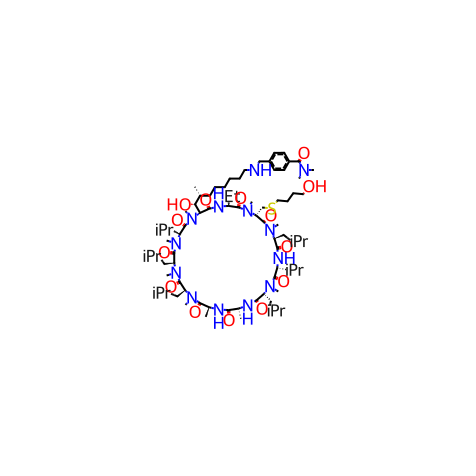 CC[C@@H]1NC(=O)[C@H]([C@H](O)[C@H](C)CCCCCCNCc2ccc(C(=O)N(C)C)cc2)N(C)C(=O)[C@H](C(C)C)N(C)C(=O)[C@H](CC(C)C)N(C)C(=O)[C@H](CC(C)C)N(C)C(=O)[C@H](C)NC(=O)[C@@H](C)NC(=O)[C@@H](CC(C)C)N(C)C(=O)[C@@H](C(C)C)NC(=O)[C@H](CC(C)C)N(C)C(=O)[C@@H](CSCCCCO)N(C)C1=O